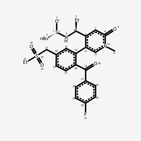 CCCC[S@+]([O-])N[C@@H](CC)c1cc(=O)n(C)cc1-c1cc(CS(=O)(=O)CC)ccc1C(=O)c1ccc(F)cc1